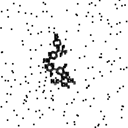 Cc1nc2c(F)cc(-c3nc(Nc4ccc([C@H](N5CCNCC5)C(F)(F)F)cn4)ncc3F)cc2n1C(C)C